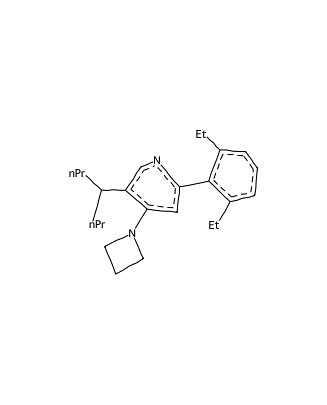 CCCC(CCC)c1cnc(-c2c(CC)cccc2CC)cc1N1CCC1